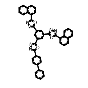 c1ccc(-c2ccc(-c3nnc(-c4cc(-c5nnc(-c6cccc7ccccc67)o5)cc(-c5nnc(-c6cccc7ccccc67)o5)c4)o3)cc2)cc1